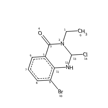 CCN1C(=O)c2cccc(Br)c2NC1Cl